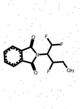 O=C1c2ccccc2C(=O)N1C(C(F)F)C(F)CO